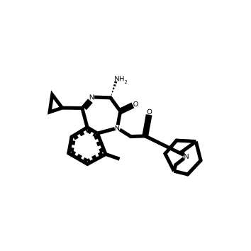 Cc1cccc2c1N(CC(=O)N1CC3CCC(CC3)C1)C(=O)[C@@H](N)N=C2C1CC1